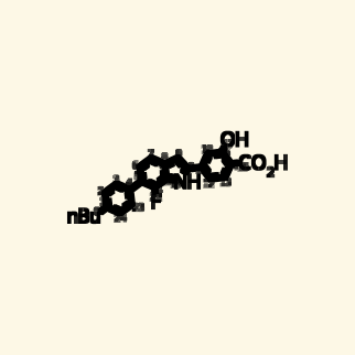 CCCCc1ccc(-c2ccc3cc(-c4ccc(C(=O)O)c(O)c4)[nH]c3c2F)cc1